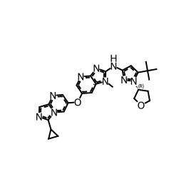 Cn1c(Nc2cc(C(C)(C)C)n([C@@H]3CCOC3)n2)nc2ncc(Oc3cnc4cnc(C5CC5)n4c3)cc21